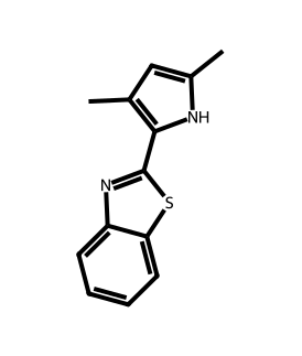 Cc1cc(C)c(-c2nc3ccccc3s2)[nH]1